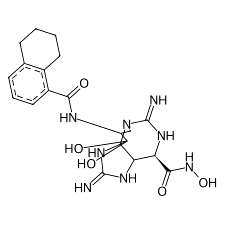 N=C1NC2[C@H](C(=O)NO)NC(=N)N3CC(NC(=O)c4cccc5c4CCCC5)C(O)(O)C23N1